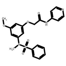 COc1cc(OCC(=O)Nc2ccncc2)cc(N(C)S(=O)(=O)c2ccccc2)c1